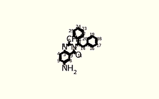 Cc1nc2ccc(N)cc2c(=O)n1C(Cc1ccccc1)c1ccccc1